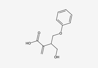 C=C(C(=O)O)C(CO)COc1ccccc1